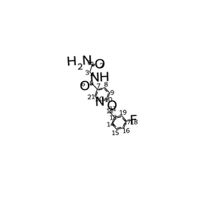 NC(=O)CNC(=O)c1ccc(OCc2cccc(F)c2)nc1